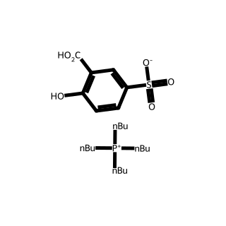 CCCC[P+](CCCC)(CCCC)CCCC.O=C(O)c1cc(S(=O)(=O)[O-])ccc1O